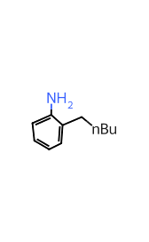 CCCCCc1ccccc1N